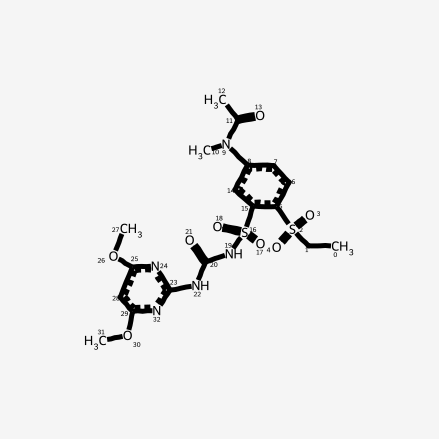 CCS(=O)(=O)c1ccc(N(C)C(C)=O)cc1S(=O)(=O)NC(=O)Nc1nc(OC)cc(OC)n1